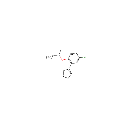 CC(Oc1ccc(Cl)cc1C1=CCCC1)C(=O)O